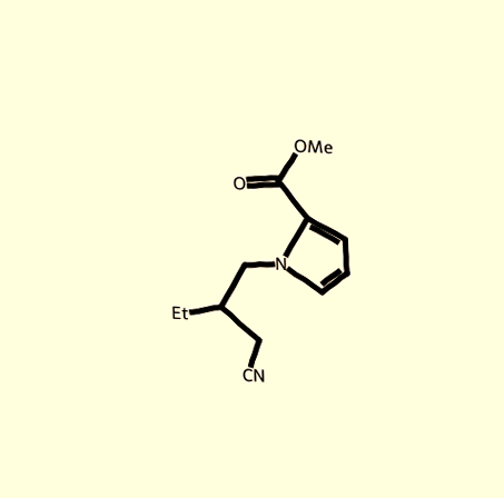 CCC(CC#N)Cn1cccc1C(=O)OC